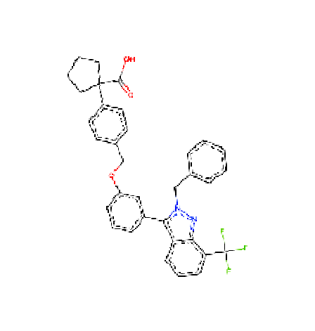 O=C(O)C1(c2ccc(COc3cccc(-c4c5cccc(C(F)(F)F)c5nn4Cc4ccccc4)c3)cc2)CCCC1